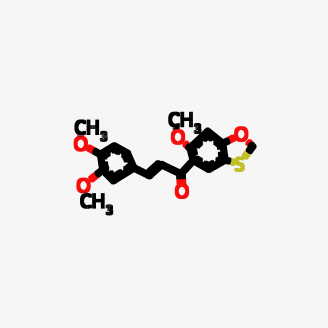 COc1ccc(/C=C/C(=O)c2cc3c(cc2OC)OCS3)cc1OC